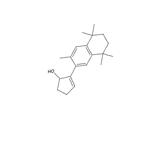 Cc1cc2c(cc1C1=CCCC1O)C(C)(C)CCC2(C)C